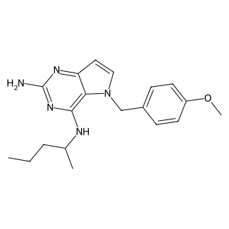 CCCC(C)Nc1nc(N)nc2ccn(Cc3ccc(OC)cc3)c12